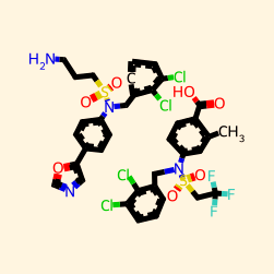 Cc1cc(N(Cc2cccc(Cl)c2Cl)S(=O)(=O)CC(F)(F)F)ccc1C(=O)O.NCCCS(=O)(=O)N(Cc1cccc(Cl)c1Cl)c1ccc(-c2cnco2)cc1